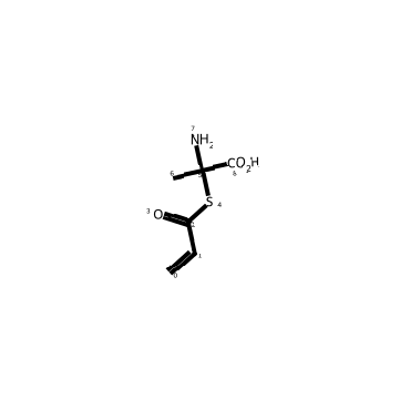 C=CC(=O)SC(C)(N)C(=O)O